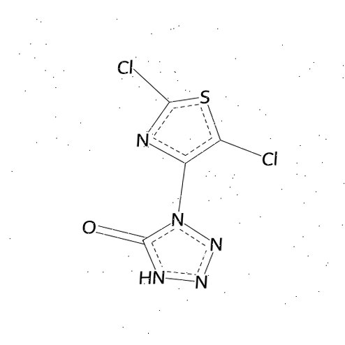 O=c1[nH]nnn1-c1nc(Cl)sc1Cl